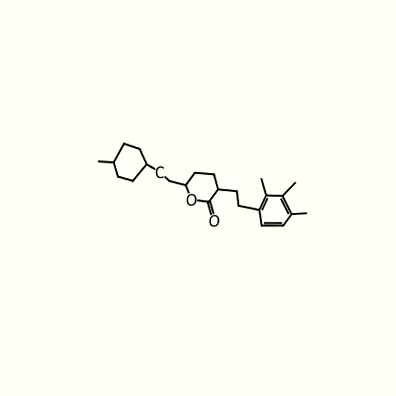 Cc1ccc(CCC2CCC(CCC3CCC(C)CC3)OC2=O)c(C)c1C